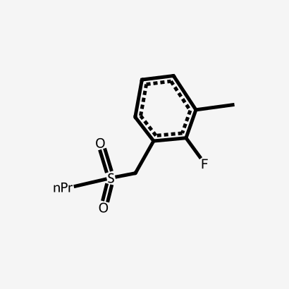 CCCS(=O)(=O)Cc1cccc(C)c1F